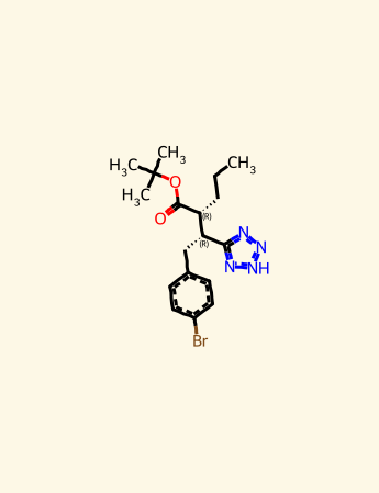 CCC[C@@H](C(=O)OC(C)(C)C)[C@@H](Cc1ccc(Br)cc1)c1nn[nH]n1